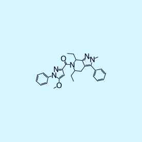 CCC1Cc2c(nn(C)c2-c2ccccc2)C(CC)N1C(=O)c1cc(OC)n(-c2ccccc2)n1